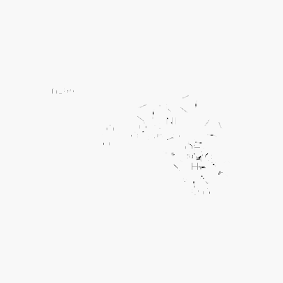 CCCCCCCCCCCCCCCCCC1OCC(COC(=O)O[C@@H](C(=O)O[C@H]2C[C@@]3(O)[C@@H](OC(=O)c4ccccc4)[C@H]4[C@](C)(C(=O)[C@H](C)C(=C2C)C3(C)C)[C@@H](O)C[C@@]2(C)OC[C@@]42OC(C)=O)[C@@H](NC(=O)c2ccccc2)c2ccccc2)O1